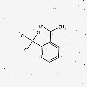 CC(Br)c1cccnc1C(Cl)(Cl)Cl